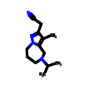 Cc1c(CC#N)nn2c1CN(C(C)C)CCC2